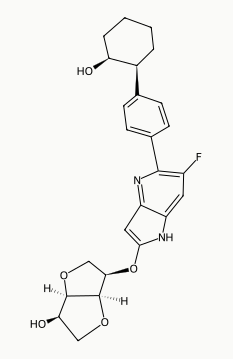 O[C@@H]1CO[C@H]2[C@@H]1OC[C@H]2Oc1cc2nc(-c3ccc([C@@H]4CCCC[C@@H]4O)cc3)c(F)cc2[nH]1